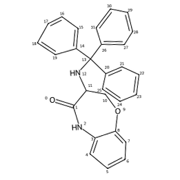 O=C1Nc2ccccc2OCC1NC(c1ccccc1)(c1ccccc1)c1ccccc1